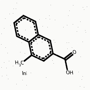 Cc1cc(C(=O)O)cc2ccccc12.[In]